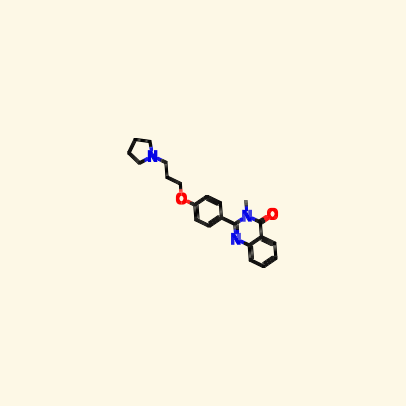 Cn1c(-c2ccc(OCCCN3CCCC3)cc2)nc2ccccc2c1=O